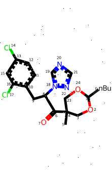 CCCCC1OCC(C)(C(=O)C(Cc2ccc(Cl)cc2Cl)n2cncn2)CO1